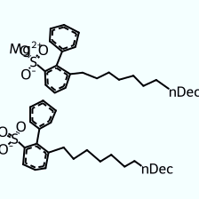 CCCCCCCCCCCCCCCCCc1cccc(S(=O)(=O)[O-])c1-c1ccccc1.CCCCCCCCCCCCCCCCCc1cccc(S(=O)(=O)[O-])c1-c1ccccc1.[Mg+2]